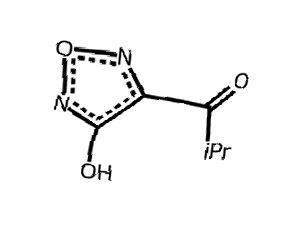 CC(C)C(=O)c1nonc1O